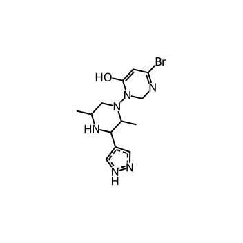 CC1CN(N2CN=C(Br)C=C2O)C(C)C(c2cn[nH]c2)N1